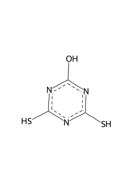 Oc1nc(S)nc(S)n1